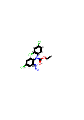 CCOC(=O)N(c1ccc(Cl)cc1N)c1ccc(Cl)cc1Cl